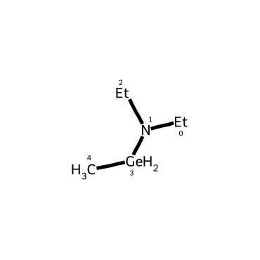 CC[N](CC)[GeH2][CH3]